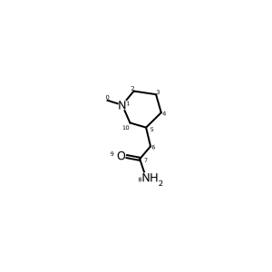 CN1CCCC(CC(N)=O)C1